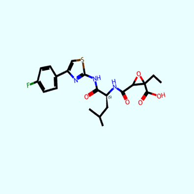 CCC1(C(=O)O)OC1C(=O)N[C@@H](CC(C)C)C(=O)Nc1nc(-c2ccc(F)cc2)cs1